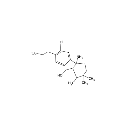 CC1C(CO)C(N)(c2ccc(CCC(C)(C)C)c(Cl)c2)CCC1(C)C